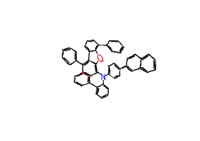 c1ccc(-c2ccccc2N(c2ccc(-c3ccc4ccccc4c3)cc2)c2ccc(-c3ccccc3)c3c2oc2c(-c4ccccc4)cccc23)cc1